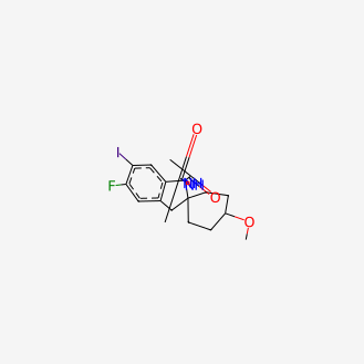 COC1CCC2(CC1)Cc1cc(F)c(I)cc1C21NC(=O)NC1=O